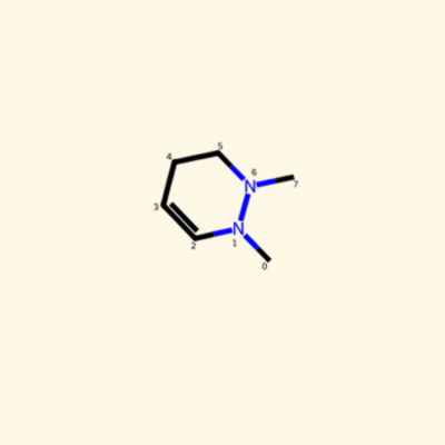 CN1C=CCCN1C